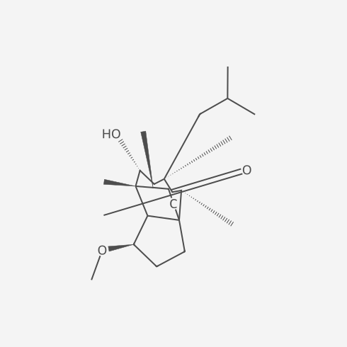 CO[C@@H]1CCC23CC[C@@H](C)[C@](C)(C12)[C@H](O)C[C@@](C)(CC(C)C)C(=O)[C@@H]3C